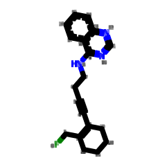 FCC1=C(C#CCCNc2ncnc3ccccc23)CCCC1